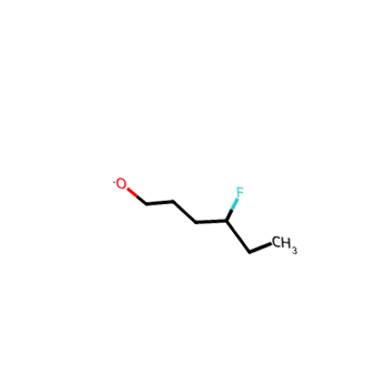 CCC(F)CCC[O]